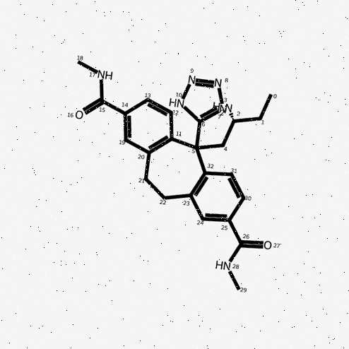 CC[C@@H](N)CC1(c2nnn[nH]2)c2ccc(C(=O)NC)cc2CCc2cc(C(=O)NC)ccc21